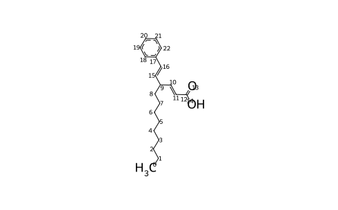 CCCCCCCCCC(C=CC(=O)O)C=Cc1ccccc1